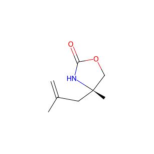 C=C(C)C[C@@]1(C)COC(=O)N1